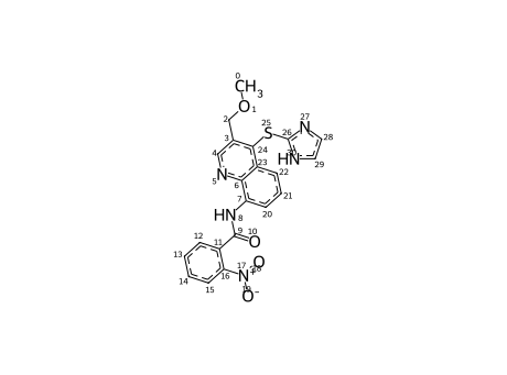 COCc1cnc2c(NC(=O)c3ccccc3[N+](=O)[O-])cccc2c1Sc1ncc[nH]1